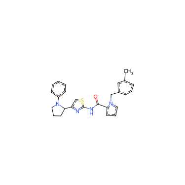 Cc1cccc(Cn2cccc2C(=O)Nc2nc(C3CCCN3c3ccccc3)cs2)c1